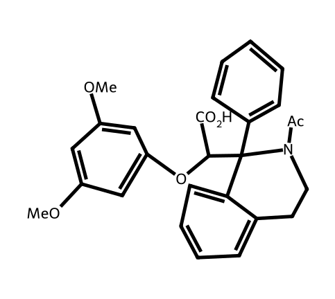 COc1cc(OC)cc(OC(C(=O)O)C2(c3ccccc3)c3ccccc3CCN2C(C)=O)c1